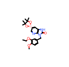 CCOc1cc(Cn2c(=O)[nH]c3cc(B4OC(C)(C)C(C)(C)O4)cnc32)ccc1OC